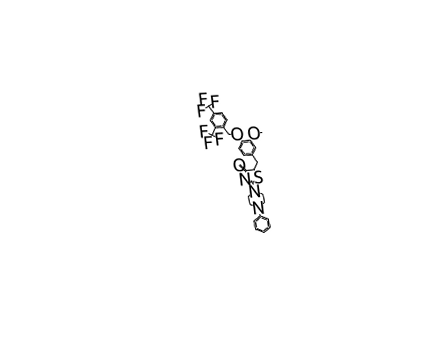 COc1cc(CC2SC(N3CCN(c4ccccc4)CC3)=NC2=O)ccc1OCc1ccc(C(F)(F)F)cc1C(F)(F)F